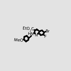 CCOC(=O)c1cc2cc(Br)c(F)cc2nc1NCc1ccc(OC)cc1